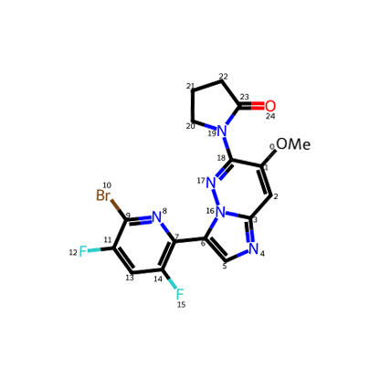 COc1cc2ncc(-c3nc(Br)c(F)cc3F)n2nc1N1CCCC1=O